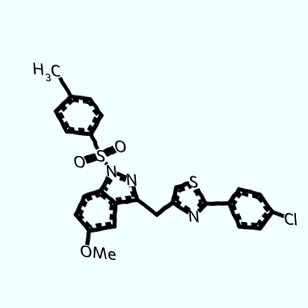 COc1ccc2c(c1)c(Cc1csc(-c3ccc(Cl)cc3)n1)nn2S(=O)(=O)c1ccc(C)cc1